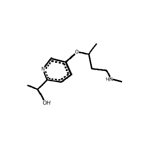 CNCCC(C)Oc1ccc(C(C)O)nc1